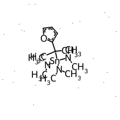 C[N](C)[Sn]([N](C)C)([N](C)C)[C](C)(C)c1ccco1